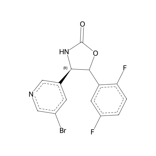 O=C1N[C@H](c2cncc(Br)c2)C(c2cc(F)ccc2F)O1